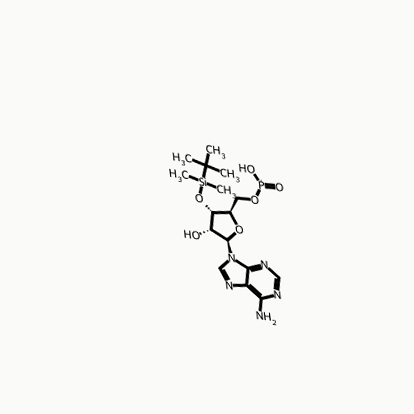 CC(C)(C)[Si](C)(C)O[C@H]1[C@@H](O)[C@H](n2cnc3c(N)ncnc32)O[C@@H]1CO[P](=O)O